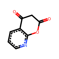 O=C1CC(=O)c2cccnc2O1